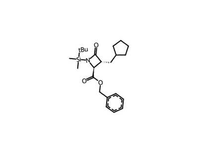 CC(C)(C)[Si](C)(C)N1C(=O)[C@H](CC2CCCC2)[C@H]1C(=O)OCc1ccccc1